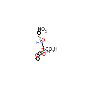 O=C(CCCc1ccc([N+](=O)[O-])cc1)NCCCCC(NS(=O)(=O)c1ccc2oc3ccccc3c2c1)C(=O)O